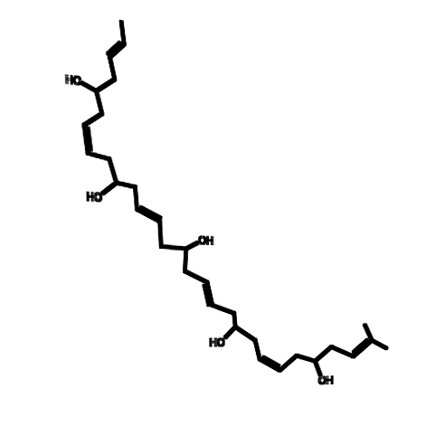 C/C=C/CC(O)C/C=C\CC(O)C/C=C/CC(O)C/C=C/CC(O)C/C=C\CC(O)CC=C(C)C